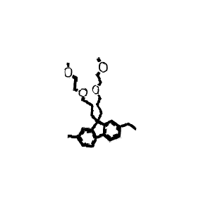 CCc1ccc2c(c1)C(CCCOCCOC)(CCCOCCOC)c1cc(C)ccc1-2